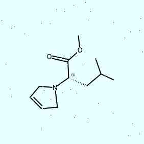 COC(=O)[C@H](CC(C)C)N1CC=CC1